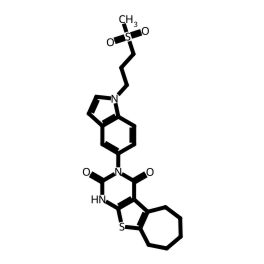 CS(=O)(=O)CCCn1ccc2cc(-n3c(=O)[nH]c4sc5c(c4c3=O)CCCCC5)ccc21